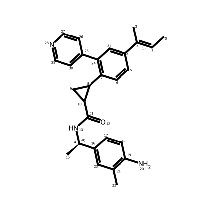 C/C=C(\C)c1ccc(C2CC2C(=O)N[C@H](C)c2ccc(N)c(C)c2)c(-c2ccncc2)c1